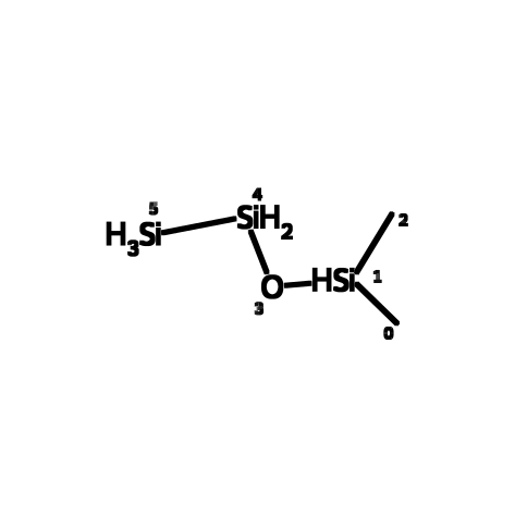 C[SiH](C)O[SiH2][SiH3]